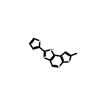 Cc1cc2c(ncc3nc(-c4cccs4)[nH]c32)s1